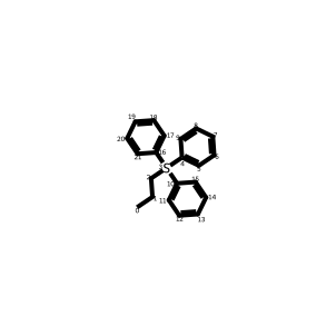 CCCS(c1ccccc1)(c1ccccc1)c1ccccc1